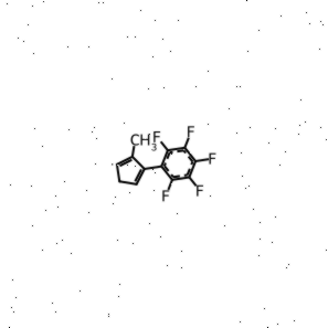 CC1=[C]CC=C1c1c(F)c(F)c(F)c(F)c1F